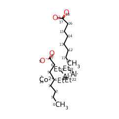 CCCCCCCC(=O)[O-].CCCCCCCC(=O)[O-].C[CH2][Al][CH2]C.C[CH2][Al][CH2]C.[Co+2]